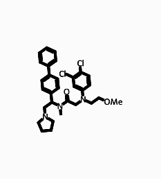 COCCN(CC(=O)N(C)C(CN1CCCC1)c1ccc(-c2ccccc2)cc1)c1ccc(Cl)c(Cl)c1